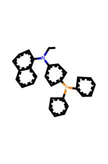 CCN(c1ccc(P(c2ccccc2)c2ccccc2)cc1)c1cccc2ccccc12